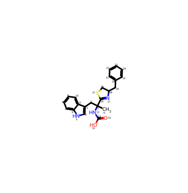 CC(Cc1c[nH]c2ccccc12)(NC(=O)O)C1=NC(Cc2ccccc2)CS1